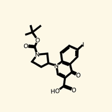 CC(C)(C)OC(=O)N1CCC(n2cc(C(=O)O)c(=O)c3cc(I)ccc32)C1